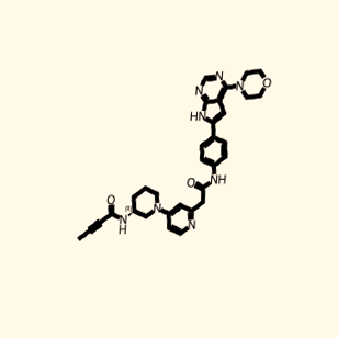 CC#CC(=O)N[C@@H]1CCCN(c2ccnc(CC(=O)Nc3ccc(-c4cc5c(N6CCOCC6)ncnc5[nH]4)cc3)c2)C1